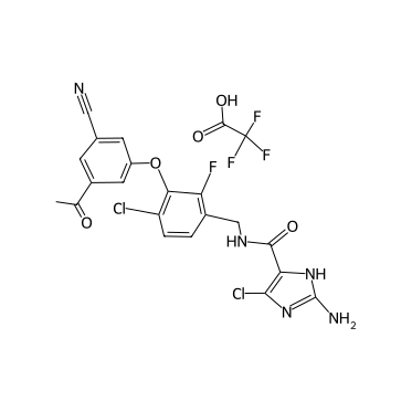 CC(=O)c1cc(C#N)cc(Oc2c(Cl)ccc(CNC(=O)c3[nH]c(N)nc3Cl)c2F)c1.O=C(O)C(F)(F)F